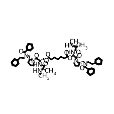 CN[C@@H](C)C(=O)NC(OC(=O)CCCCCC(=O)OC[C@H](NC(=O)[C@H](C)NC)C(=O)N1CCC[C@H]1CN(CCc1ccccc1)C(=O)c1ccccc1)C(=O)N1CCC[C@H]1CN(CCc1ccccc1)C(=O)c1ccccc1